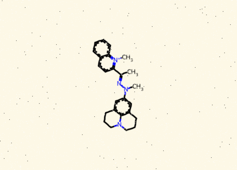 C/C(=N\N(C)c1cc2c3c(c1)CCCN3CCC2)c1ccc2ccccc2[n+]1C